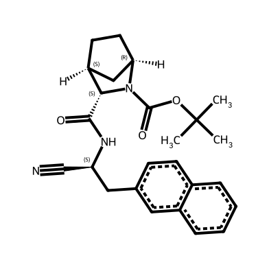 CC(C)(C)OC(=O)N1[C@@H]2CC[C@@H](C2)[C@H]1C(=O)N[C@H](C#N)Cc1ccc2ccccc2c1